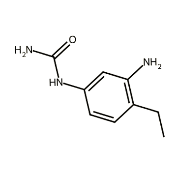 CCc1ccc(NC(N)=O)cc1N